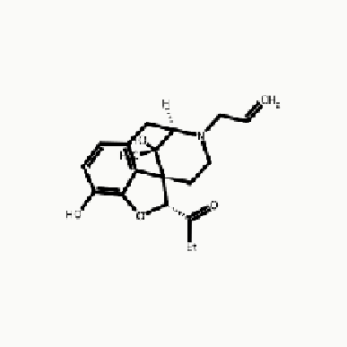 C=CCN1CC[C@]23c4c(ccc(O)c4O[C@H]2C(=O)CC)C[C@@H]1[C@@]3(C)O